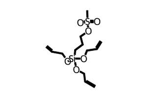 C=CCO[Si](CCCOS(C)(=O)=O)(OCC=C)OCC=C